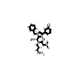 CC(C)[C@H](c1nc(-c2cccc(Cl)c2)cn1Cc1ccccc1)N(CCCN)C(=O)CN(C)C